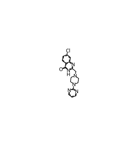 O=c1[nH]c(CN2CCN(c3ncccn3)CC2)nc2cc(Cl)ccc12